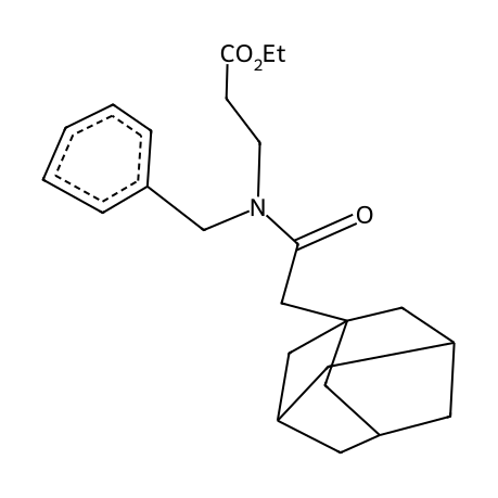 CCOC(=O)CCN(Cc1ccccc1)C(=O)CC12CC3CC(CC(C3)C1)C2